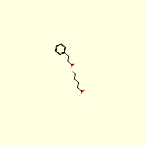 NC(=O)CCCCNC(=O)CCc1ccccc1